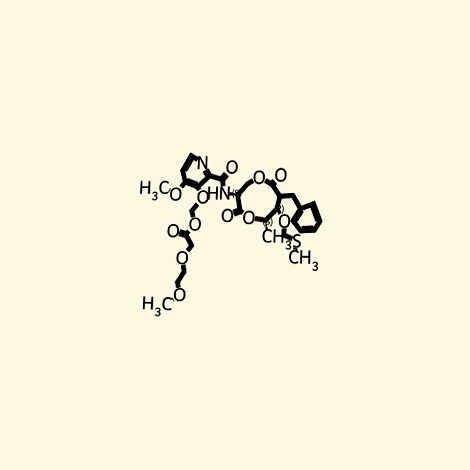 COCCOCC(=O)OCOc1c(OC)ccnc1C(=O)N[C@H]1COC(=O)C(Cc2ccccc2)[C@@H](OCSC)[C@H](C)OC1=O